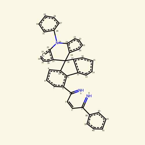 N=C(/C=C\C(=N)c1cccc2c1-c1ccccc1C21c2ccccc2N(c2ccccc2)c2ccccc21)c1ccccc1